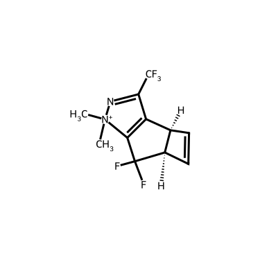 C[N+]1(C)N=C(C(F)(F)F)C2=C1C(F)(F)[C@@H]1C=C[C@H]21